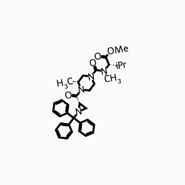 COC(=O)[C@H](C(C)C)N(C)C(=O)N1CCN(C(=O)[C@@H]2CN2C(c2ccccc2)(c2ccccc2)c2ccccc2)[C@H](C)C1